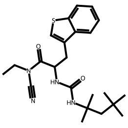 CCN(C#N)C(=O)C(Cc1csc2ccccc12)NC(=O)NC(C)(C)CC(C)(C)C